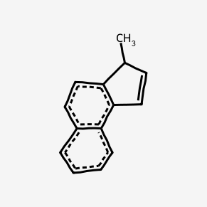 CC1C=Cc2c1ccc1ccccc21